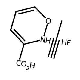 C#CC.F.O=C(O)C1=CC=CON1